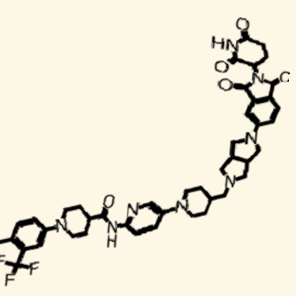 N#Cc1ccc(N2CCC(C(=O)Nc3ccc(N4CCC(CN5CC6CN(c7ccc8c(c7)C(=O)N(C7CCC(=O)NC7=O)C8=O)CC6C5)CC4)cn3)CC2)cc1C(F)(F)F